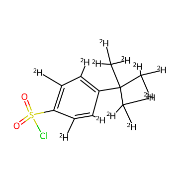 [2H]c1c([2H])c(S(=O)(=O)Cl)c([2H])c([2H])c1C(C([2H])([2H])[2H])(C([2H])([2H])[2H])C([2H])([2H])[2H]